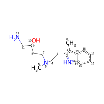 Cc1c(CCN(C)CCC(O)CN)[nH]c2ccccc12